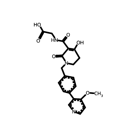 COc1ccncc1-c1ccc(CN2CCC(O)=C(C(=O)NCC(=O)O)C2=O)cc1